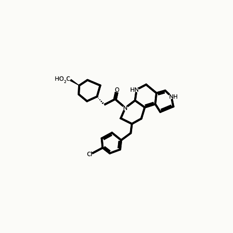 O=C(C[C@H]1CC[C@H](C(=O)O)CC1)N1CC(Cc2ccc(Cl)cc2)CC2=C3C=CNC=C3CNC21